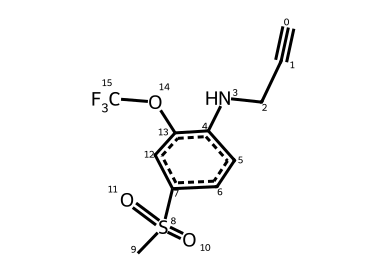 C#CCNc1ccc(S(C)(=O)=O)cc1OC(F)(F)F